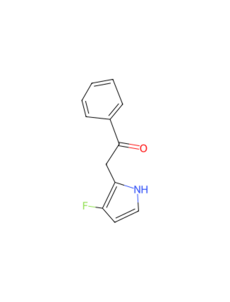 O=C(Cc1[nH]ccc1F)c1ccccc1